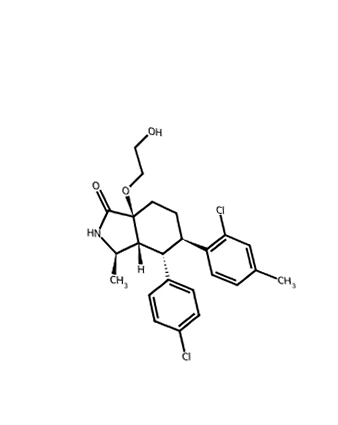 Cc1ccc([C@@H]2CC[C@@]3(OCCO)C(=O)N[C@H](C)[C@H]3[C@H]2c2ccc(Cl)cc2)c(Cl)c1